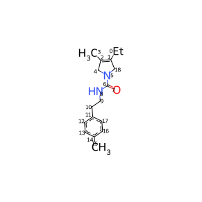 CCC1=C(C)CN(C(=O)NCCc2ccc(C)cc2)C1